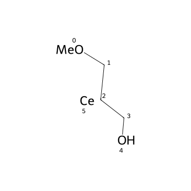 COCCCO.[Ce]